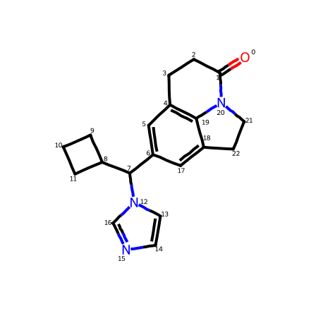 O=C1CCc2cc(C(C3CCC3)n3ccnc3)cc3c2N1CC3